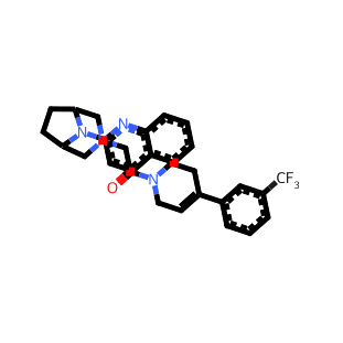 O=C(CN1CC2CCC(C1)N2c1ccc2ccccc2n1)N1CC=C(c2cccc(C(F)(F)F)c2)CC1